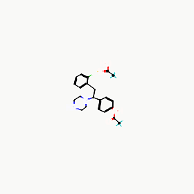 Clc1ccccc1CC(c1ccccc1)N1CCNCC1.O=C(O)C(F)(F)F.O=C(O)C(F)(F)F